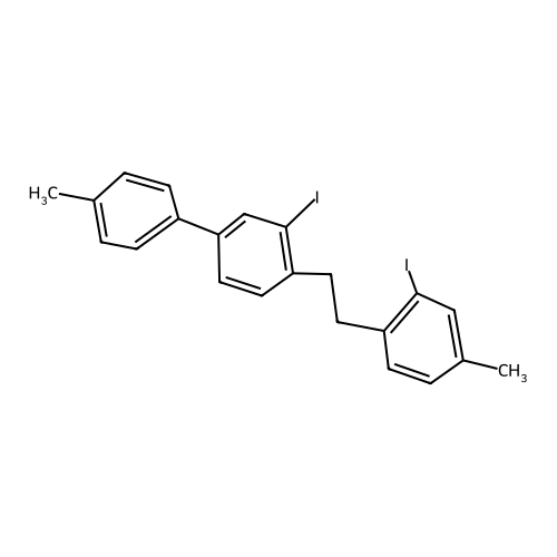 Cc1ccc(-c2ccc(CCc3ccc(C)cc3I)c(I)c2)cc1